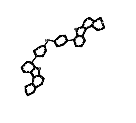 c1ccc2c(c1)ccc1oc3c(-c4ccc(Nc5ccc(-c6cccc7c6oc6ccc8ccccc8c67)cc5)cc4)cccc3c12